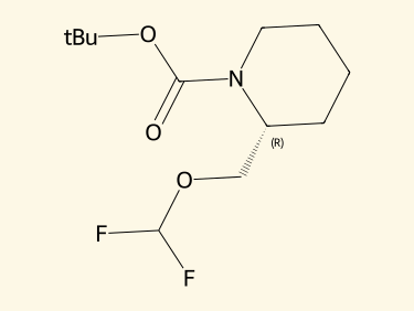 CC(C)(C)OC(=O)N1CCCC[C@@H]1COC(F)F